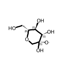 [O][C@]1(O)CO[C@H](CO)[C@@H](O)[C@@H]1O